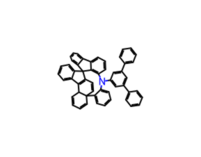 C1=CC2C3=C4C=CC2(C=C1)c1ccccc1N(c1cc(-c2ccccc2)cc(-c2ccccc2)c1)c1cccc2c1C4(c1ccccc13)c1ccccc1-2